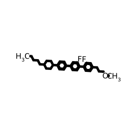 CCCCCC1CCC(c2ccc(-c3ccc(-c4ccc(CCCOC)cc4F)c(F)c3)cc2)CC1